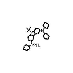 CC(C)(C)n1c2ccc(N(P)c3ccccc3)cc2c2cc(N(c3ccccc3)c3ccccc3)ccc21